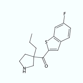 CCCC1(C(=O)c2cc3ccc(F)cc3s2)CCNC1